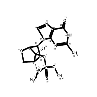 CC[C@]12COC([C@H]1OP(O)(=S)OC)[C@@H](n1cnc3c(=O)[nH]c(N)nc31)O2